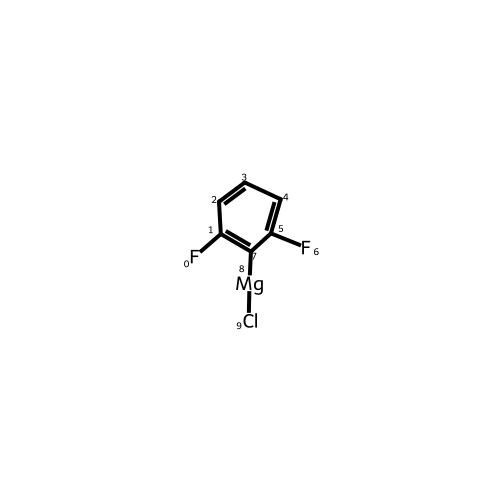 Fc1cccc(F)[c]1[Mg][Cl]